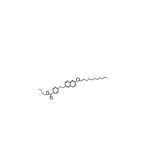 CCCCCCCCCCCOc1ccc2cc(CCc3ccc(C(=O)OC[C@H](C)CC)cc3)ccc2c1